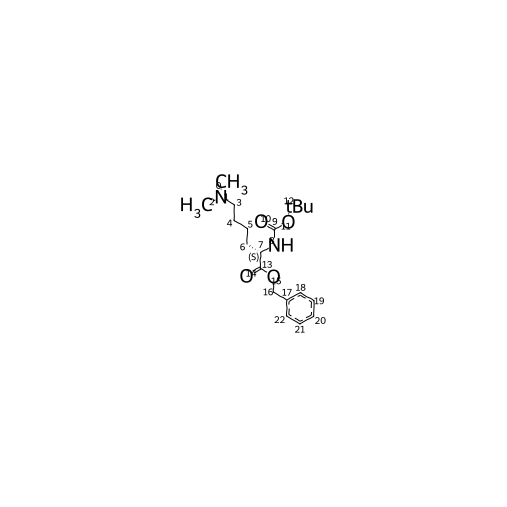 CN(C)CCCC[C@H](NC(=O)OC(C)(C)C)C(=O)OCc1ccccc1